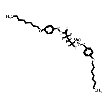 CCCCCCCCOc1ccc([I+]OC(=O)C(F)(F)C(F)(F)C(F)(F)S(=O)(=O)O[I+]c2ccc(OCCCCCCCC)cc2)cc1